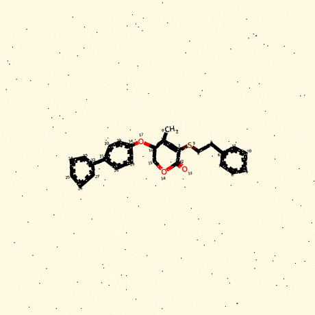 CC1=C(SCCc2ccccc2)C(=O)OCC1Oc1ccc(-c2ccccc2)cc1